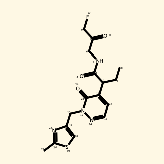 CCC(C(=O)NCC(=O)CF)c1ccnn(Cc2csc(C)n2)c1=O